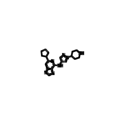 c1nc2c(Nc3cnn(C4CCNCC4)c3)nc(C3CCCC3)cn2n1